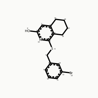 Oc1cc2c(c(SCc3cccc(Br)c3)n1)CCCC2